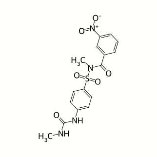 CNC(=O)Nc1ccc(S(=O)(=O)N(C)C(=O)c2cccc([N+](=O)[O-])c2)cc1